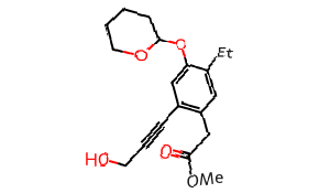 CCc1cc(CC(=O)OC)c(C#CCO)cc1OC1CCCCO1